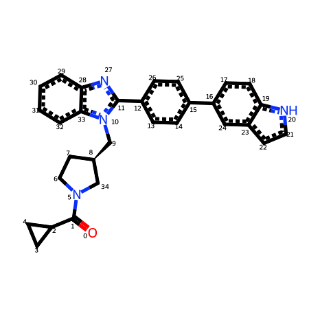 O=C(C1CC1)N1CC[C@@H](Cn2c(-c3ccc(-c4ccc5[nH]ccc5c4)cc3)nc3ccccc32)C1